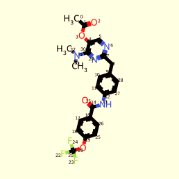 CC(=O)Oc1cnc(Cc2ccc(NC(=O)c3ccc(OC(F)(F)F)cc3)cc2)nc1N(C)C